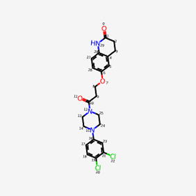 O=C1CCc2cc(OCCC(=O)N3CCN(c4ccc(Cl)c(Cl)c4)CC3)ccc2N1